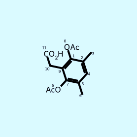 CC(=O)Oc1c(C)cc(C)c(OC(C)=O)c1CC(=O)O